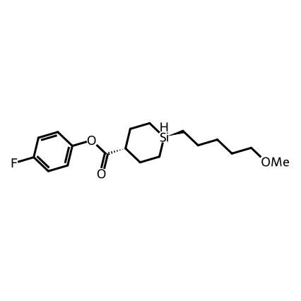 COCCCCC[Si@H]1CC[C@H](C(=O)Oc2ccc(F)cc2)CC1